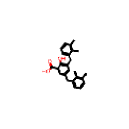 Cc1cccc(Cc2cc(Cc3cccc(C)c3C)c(O)c(C(=O)O)c2)c1C